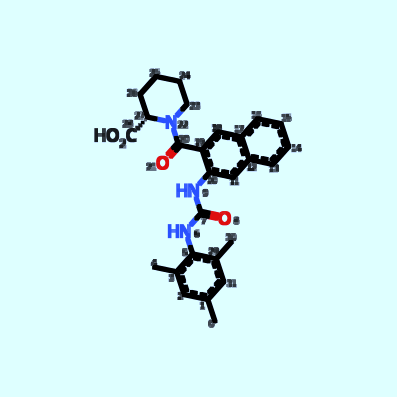 Cc1cc(C)c(NC(=O)Nc2cc3ccccc3cc2C(=O)N2CCCC[C@H]2C(=O)O)c(C)c1